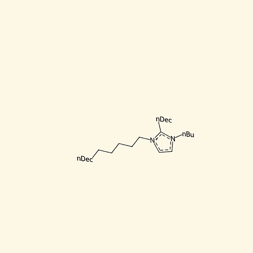 CCCCCCCCCCCCCCC[n+]1ccn(CCCC)c1CCCCCCCCCC